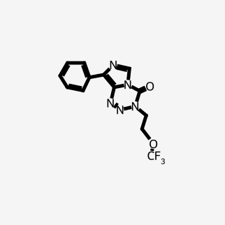 O=c1n(CCOC(F)(F)F)nnc2c(-c3ccccc3)ncn12